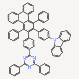 c1ccc(-c2nc(-c3ccccc3)nc(-c3ccc(-c4c(-c5ccc(-n6c7ccccc7c7ccccc76)cc5)c(-c5ccccc5)c5c6ccccc6c6ccccc6c5c4-c4ccccc4)cc3)n2)cc1